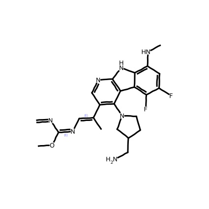 C=N/C(=N\C=C(/C)c1cnc2[nH]c3c(NC)cc(F)c(F)c3c2c1N1CCC(CN)C1)OC